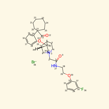 O=C(C[N+]12CCC(CC1)[C@@H](OC(=O)C1(c3ccccc3)CCCCCC1)C2)NCCOc1cccc(F)c1.[Br-]